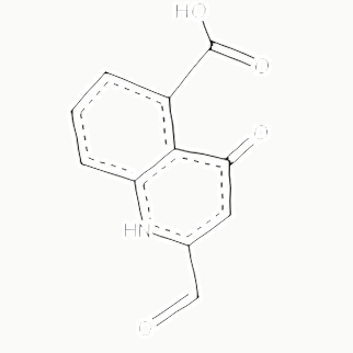 O=Cc1cc(=O)c2c(C(=O)O)cccc2[nH]1